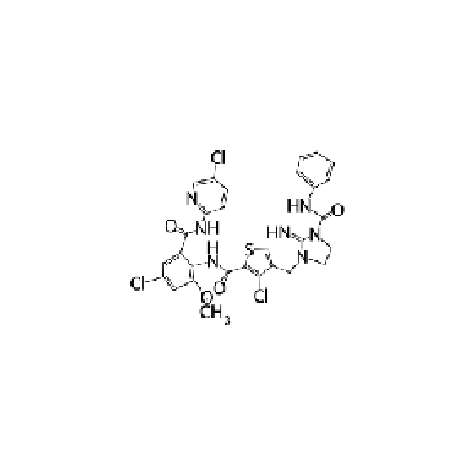 COc1cc(Cl)cc(C(=O)Nc2ccc(Cl)cn2)c1NC(=O)c1scc(CN2CCN(C(=O)Nc3ccccc3)C2=N)c1Cl